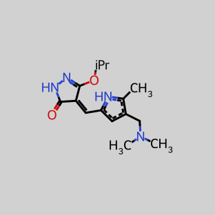 Cc1[nH]c(/C=C2/C(=O)NN=C2OC(C)C)cc1CN(C)C